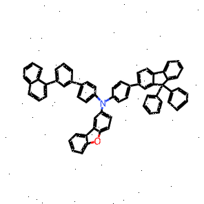 c1ccc(C2(c3ccccc3)c3ccccc3-c3ccc(-c4ccc(N(c5ccc(-c6cccc(-c7cccc8ccccc78)c6)cc5)c5ccc6oc7ccccc7c6c5)cc4)cc32)cc1